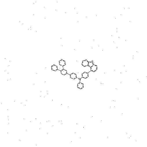 c1ccc(-c2ccc(-c3ccc(N(c4ccccc4)c4ccc(-c5cccc6sc7ccccc7c56)cc4)cc3)cc2-c2ccccc2)cc1